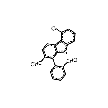 O=Cc1ccccc1-c1c(C=O)ccc2c1sc1cccc(Cl)c12